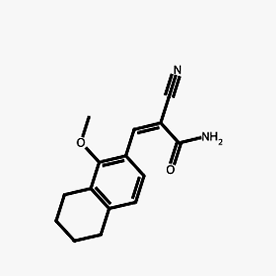 COc1c(C=C(C#N)C(N)=O)ccc2c1CCCC2